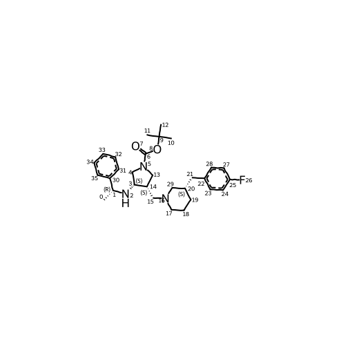 C[C@@H](N[C@@H]1CN(C(=O)OC(C)(C)C)C[C@@H]1CN1CCC[C@@H](Cc2ccc(F)cc2)C1)c1ccccc1